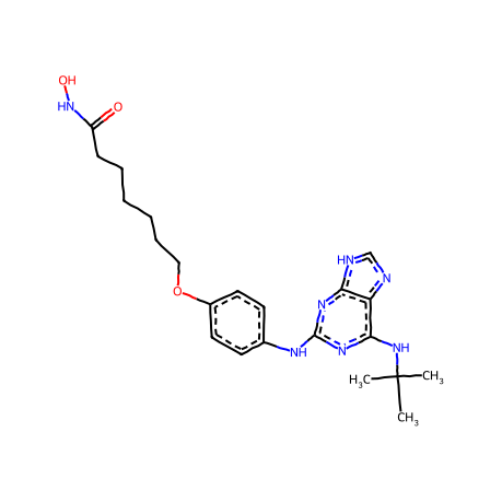 CC(C)(C)Nc1nc(Nc2ccc(OCCCCCCC(=O)NO)cc2)nc2[nH]cnc12